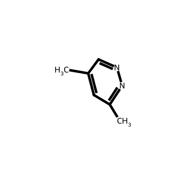 Cc1cnnc(C)c1